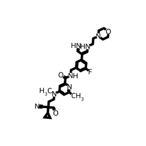 Cc1cc(N(C)CCC(C#N)(C=O)C2CC2)cc(C(=O)NCc2cc(F)cc(/C(C=N)=C/NCCN3CCOCC3)c2)n1